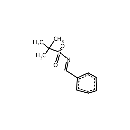 CC(C)(C)S(=O)(=O)N=Cc1ccccc1